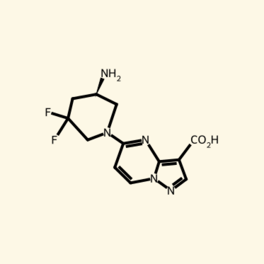 N[C@H]1CN(c2ccn3ncc(C(=O)O)c3n2)CC(F)(F)C1